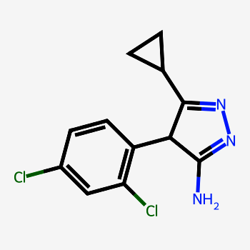 NC1=NN=C(C2CC2)C1c1ccc(Cl)cc1Cl